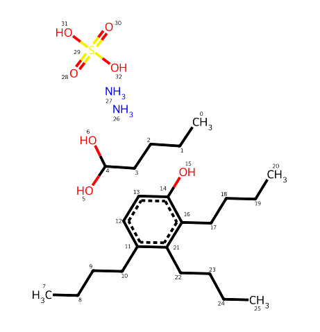 CCCCC(O)O.CCCCc1ccc(O)c(CCCC)c1CCCC.N.N.O=S(=O)(O)O